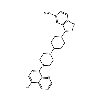 COc1ccc2occ(C3CCC(N4CCN(c5ccc(Cl)c6cccnc56)CC4)CC3)c2c1